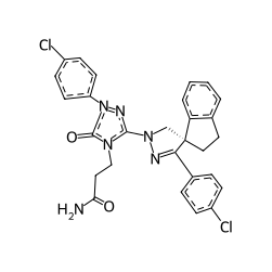 NC(=O)CCn1c(N2C[C@]3(CCc4ccccc43)C(c3ccc(Cl)cc3)=N2)nn(-c2ccc(Cl)cc2)c1=O